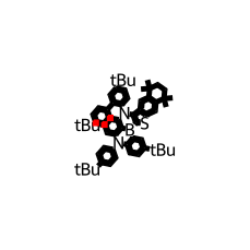 CC(C)(C)c1ccc(N2c3ccc(C(C)(C)C)cc3B3c4sc5cc6c(cc5c4N(c4ccc(C(C)(C)C)cc4-c4ccccc4)c4cc(C(C)(C)C)cc2c43)C(C)(C)CCC6(C)C)cc1